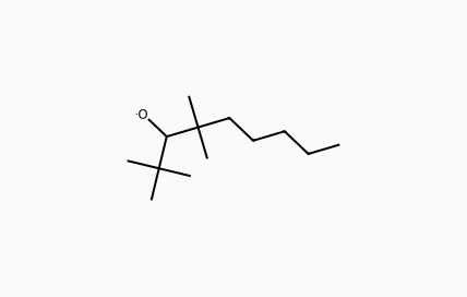 CCCCCC(C)(C)C([O])C(C)(C)C